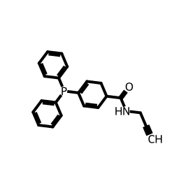 C#CCNC(=O)C1C=CC(P(c2ccccc2)c2ccccc2)=CC1